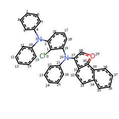 Clc1c(N(c2ccccc2)c2ccccc2)cccc1N(c1ccccc1)c1coc2c1ccc1ccccc12